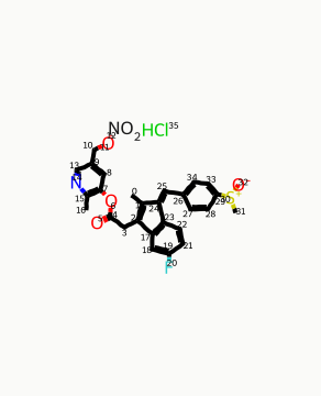 CC1=C(CC(=O)Oc2cc(CO[N+](=O)[O-])cnc2C)c2cc(F)ccc2C1=Cc1ccc([S+](C)[O-])cc1.Cl